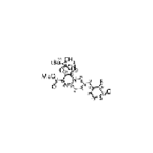 COC(=O)c1nc2ccc(Cc3cccc(Cl)c3F)cn2c(=O)c1O[Si](C)(C)C(C)(C)C